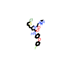 O=C(Nc1ccc(Oc2ccc(F)cc2)cc1)C1CC(Cc2ccc(Cl)s2)CN1C(=O)Cn1ccnn1